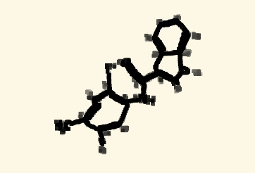 Cc1cc(F)c(NC(=O)c2noc3ccccc23)cc1F